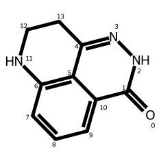 O=c1[nH]nc2c3c(cccc13)NCC2